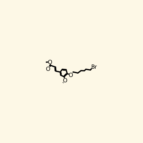 COC(=O)C=Cc1ccc(OCCCCCCBr)c(OC)c1